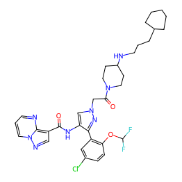 O=C(Nc1cn(CC(=O)N2CCC(NCCCC3CCCCC3)CC2)nc1-c1cc(Cl)ccc1OC(F)F)c1cnn2cccnc12